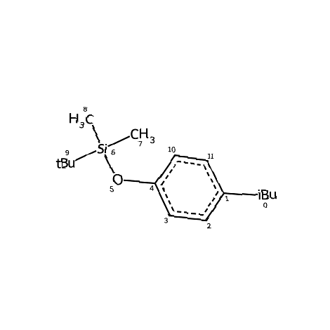 CCC(C)c1ccc(O[Si](C)(C)C(C)(C)C)cc1